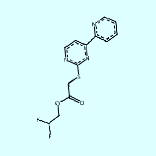 O=C(CSc1nccc(-c2ccccn2)n1)OCC(F)F